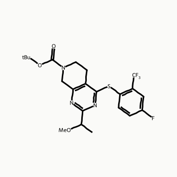 COC(C)c1nc2c(c(Sc3ccc(F)cc3C(F)(F)F)n1)CCN(C(=O)OC(C)(C)C)C2